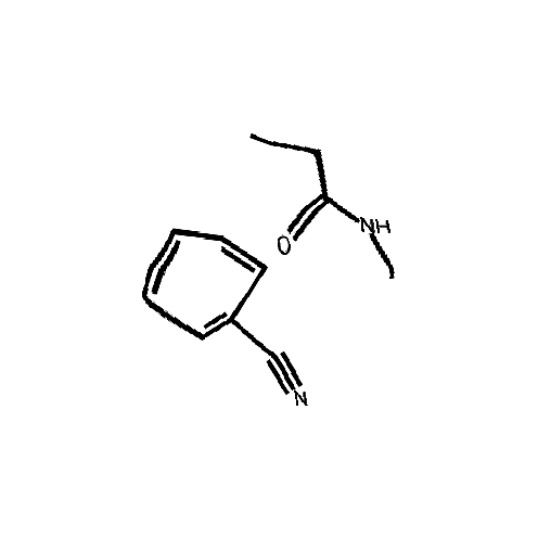 CCC(=O)NC.N#Cc1ccccc1